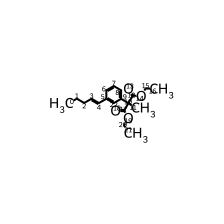 CCC/C=C/c1cccc(C(C)(C(=O)OCC)C(=O)OCC)c1